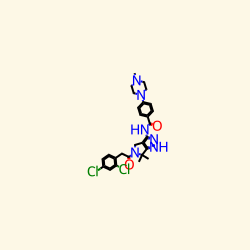 CN1CCN(c2ccc(C(=O)Nc3n[nH]c4c3CN(C(=O)Cc3ccc(Cl)cc3Cl)C4(C)C)cc2)CC1